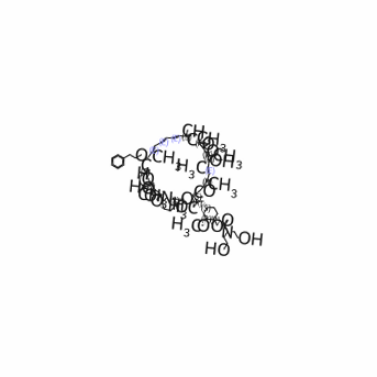 CO[C@@H]1C[C@H](C[C@@H](C)[C@@H]2CC(=O)[C@H](C)/C=C(\C)[C@@H](O)[C@@H](OC)C(=O)[C@H](C)C[C@H](C)/C=C/C=C/C=C(\C)C(OCCc3ccccc3)C[C@@H]3CC[C@@H](C)[C@@](O)(O3)C(=O)C(=O)N3CCCC[C@H]3C(=O)O2)CC[C@H]1OC(=O)N(CCO)CCO